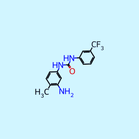 Cc1ccc(NC(=O)Nc2cccc(C(F)(F)F)c2)cc1N